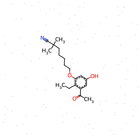 CCc1c(OCCCCCC(C)(C)C#N)cc(O)cc1C(C)=O